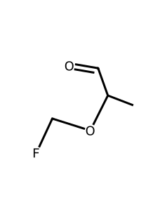 CC(C=O)OCF